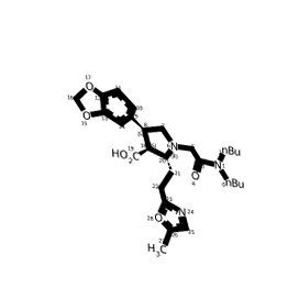 CCCCN(CCCC)C(=O)CN1C[C@H](c2ccc3c(c2)OCO3)[C@H](C(=O)O)[C@H]1CCc1ncc(C)o1